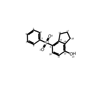 O=S(=O)(c1ccccc1)c1ccc(O)c2c1CCC2